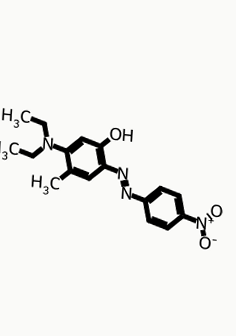 CCN(CC)c1cc(O)c(N=Nc2ccc([N+](=O)[O-])cc2)cc1C